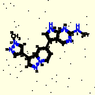 CC(C)Nc1ncc2c(-c3ccn4ncc(-c5cnn(C)c5)c4c3)c[nH]c2n1